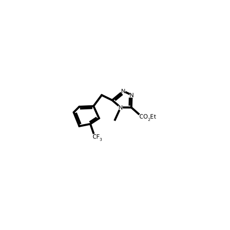 CCOC(=O)c1nnc(Cc2cccc(C(F)(F)F)c2)n1C